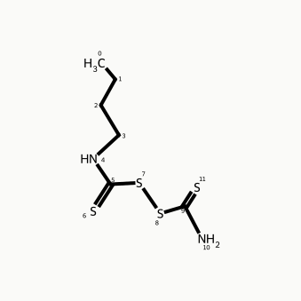 CCCCNC(=S)SSC(N)=S